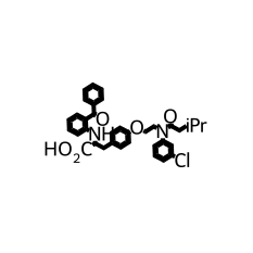 CC(C)CC(=O)N(CCOc1ccc(CC(Nc2ccccc2C(=O)c2ccccc2)C(=O)O)cc1)c1cccc(Cl)c1